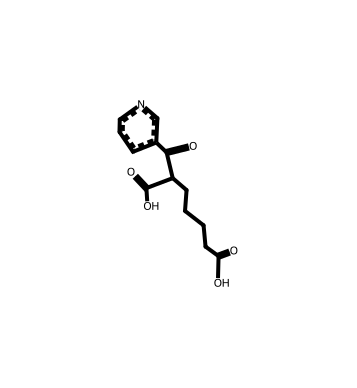 O=C(O)CCCCC(C(=O)O)C(=O)c1cccnc1